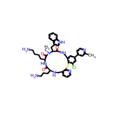 Cc1cc(-c2cc(Cl)c3c(c2)CNC(=O)C(Cc2c[nH]c4ccccc24)N(C)C(=O)C(CCCCN)NC(=O)C(CCCN)NCc2cccnc2S3)ccn1